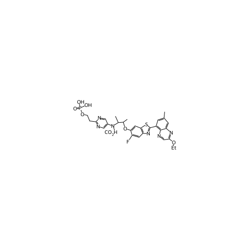 CCOc1cnc2c(-c3nc4cc(F)c(OC(C)C(C)N(C(=O)O)c5cnc(CCOP(=O)(O)O)nc5)cc4s3)cc(C)cc2n1